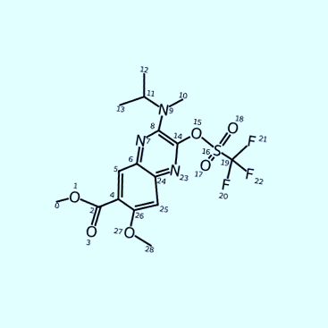 COC(=O)c1cc2nc(N(C)C(C)C)c(OS(=O)(=O)C(F)(F)F)nc2cc1OC